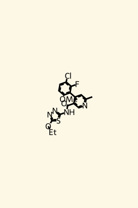 CCOc1nnc(NC(=O)c2cnc(C)cc2-c2c(OC)ccc(Cl)c2F)s1